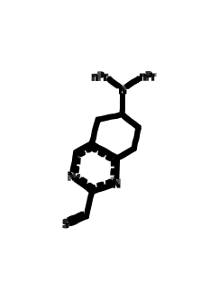 CCCN(CCC)C1CCc2nc(C=S)ncc2C1